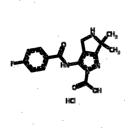 CC1(C)NCc2c1nn(C(=O)O)c2NC(=O)c1ccc(F)cc1.Cl